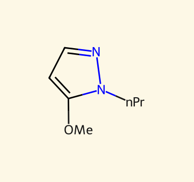 CCCn1nccc1OC